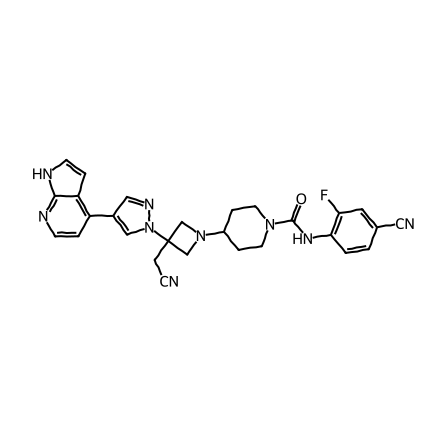 N#CCC1(n2cc(-c3ccnc4[nH]ccc34)cn2)CN(C2CCN(C(=O)Nc3ccc(C#N)cc3F)CC2)C1